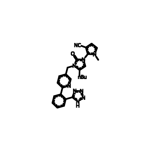 CCCCc1cn(-c2c(C#N)ccn2C)c(=O)n1Cc1ccc(-c2ccccc2-c2nnn[nH]2)nc1